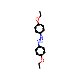 CCOc1ccc(/N=N/c2ccc(OCC)cc2)cc1